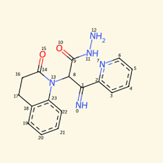 N=C(c1ccccn1)C(C(=O)NN)N1C(=O)CCc2ccccc21